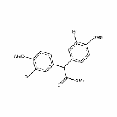 COC(=O)C(c1ccc(OC)c(Br)c1)c1ccc(OC)c(Br)c1